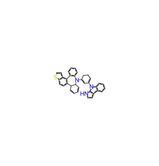 C1=CC2c3ccc4sccc4c3-c3ccccc3N(C3=CC(n4c5ccccc5c5cc[nH]c54)=CCC3)C2C=C1